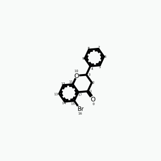 O=C1CC(c2ccccc2)Oc2cccc(Br)c21